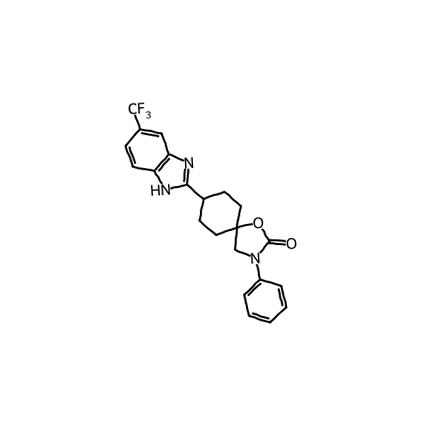 O=C1OC2(CCC(c3nc4cc(C(F)(F)F)ccc4[nH]3)CC2)CN1c1ccccc1